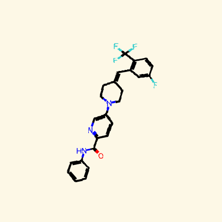 O=C(Nc1ccccc1)c1ccc(N2CCC(=Cc3cc(F)ccc3C(F)(F)F)CC2)cn1